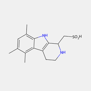 Cc1cc(C)c2[nH]c3c(c2c1C)CCNC3CS(=O)(=O)O